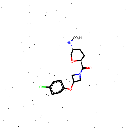 O=C(O)N[C@@H]1CC[C@@H](C(=O)N2CC(Oc3ccc(Cl)cc3)C2)OC1